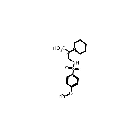 CCCOc1ccc(S(=O)(=O)NC[C@@H](C(=O)O)N2CCCCC2)cc1